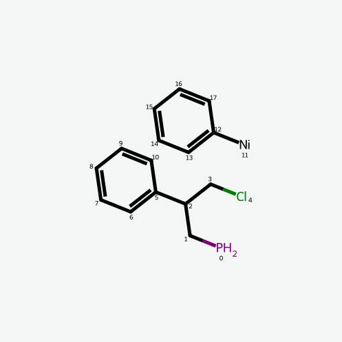 PCC(CCl)c1ccccc1.[Ni][c]1ccccc1